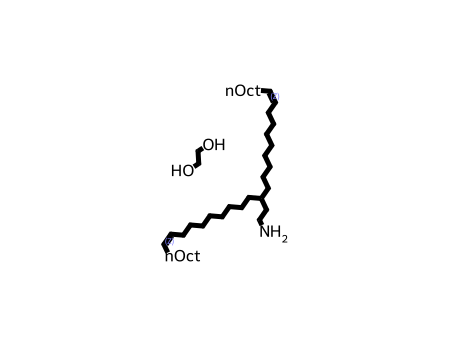 CCCCCCCC/C=C\CCCCCCCCC(CCN)CCCCCCCC/C=C\CCCCCCCC.OCCO